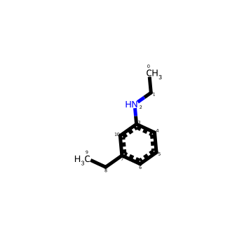 CCNc1cccc(CC)c1